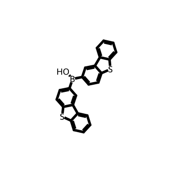 OB(c1ccc2sc3ccccc3c2c1)c1ccc2sc3ccccc3c2c1